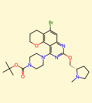 CN1CCC[C@H]1COc1nc(N2CCN(C(=O)OC(C)(C)C)CC2)c2c3c(c(Br)cc2n1)CCCO3